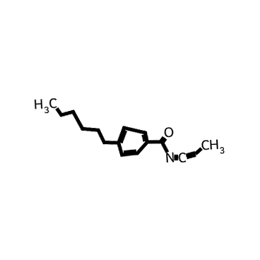 CC=C=NC(=O)c1ccc(CCCCCC)cc1